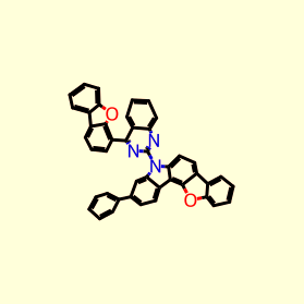 c1ccc(-c2ccc3c4c5oc6ccccc6c5ccc4n(-c4nc(-c5cccc6c5oc5ccccc56)c5ccccc5n4)c3c2)cc1